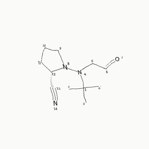 [CH2]C(C)(C)N(CC=O)N1CCC[C@H]1C#N